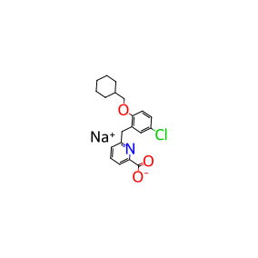 O=C([O-])c1cccc(Cc2cc(Cl)ccc2OCC2CCCCC2)n1.[Na+]